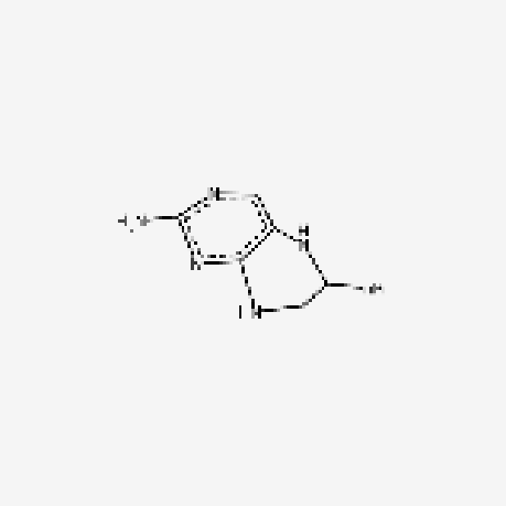 CCCC1CNc2nc(N)ncc2N1